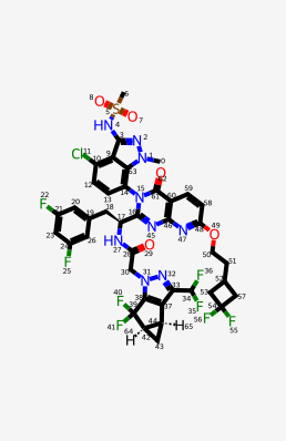 Cn1nc(NS(C)(=O)=O)c2c(Cl)ccc(-n3c([C@H](Cc4cc(F)cc(F)c4)NC(=O)Cn4nc(C(F)F)c5c4C(F)(F)[C@@H]4C[C@H]54)nc4nc(OCCC5CC(F)(F)C5)ccc4c3=O)c21